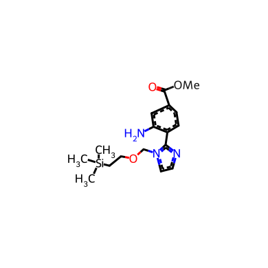 COC(=O)c1ccc(-c2nccn2COCC[Si](C)(C)C)c(N)c1